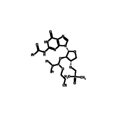 CC(C)C(=O)Nc1nc2c(ncn2[C@@H]2OC[C@H](OCP(C)(C)=O)[C@H]2OP(OCCC#N)N(C(C)C)C(C)C)c(=O)[nH]1